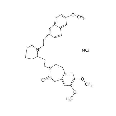 COc1ccc2cc(CCN3CCCCC3CCN3CCc4cc(OC)c(OC)cc4CC3=O)ccc2c1.Cl